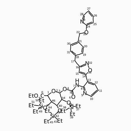 CCOC(=O)C1OC(OC(=O)Nc2ncccc2-c2cc(Cc3ccc(COc4ccccn4)cc3)no2)C(O[Si](CC)(CC)CC)C(O[Si](CC)(CC)CC)C1O[Si](CC)(CC)CC